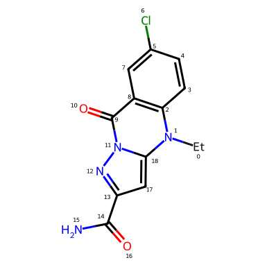 CCn1c2ccc(Cl)cc2c(=O)n2nc(C(N)=O)cc12